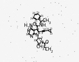 C=CC(=O)N1CC(n2c(C#CC3CC3)c(C(=O)NC(C)c3ccccc3)c3c(N)ncnc32)CC1C